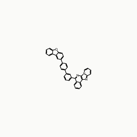 c1cc(-c2ccc(-c3ccc4oc5ccccc5c4c3)cc2)cc(-c2nc3c(nc4ccccn43)c3ccccc23)c1